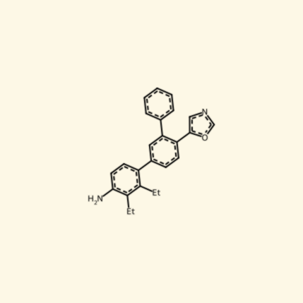 CCc1c(N)ccc(-c2ccc(-c3cnco3)c(-c3ccccc3)c2)c1CC